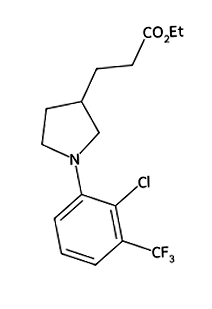 CCOC(=O)CCC1CCN(c2cccc(C(F)(F)F)c2Cl)C1